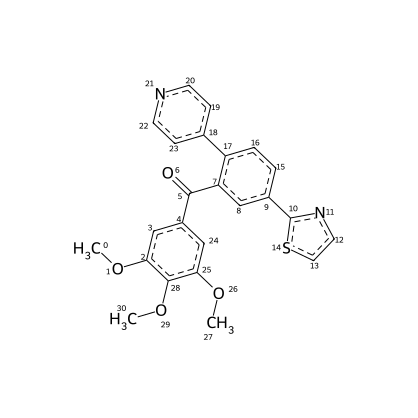 COc1cc(C(=O)c2cc(-c3nccs3)ccc2-c2ccncc2)cc(OC)c1OC